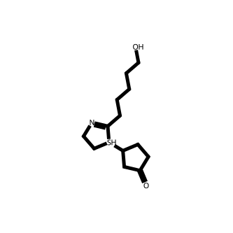 O=C1CCC([SH]2CCN=C2CCCCCO)C1